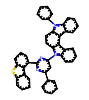 c1ccc(-c2cc(-n3c4ccccc4c4c5c6ccccc6n(-c6ccccc6)c5ccc43)nc(-c3cccc4sc5ccccc5c34)n2)cc1